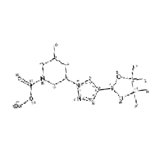 CC1CC(n2cc(B3OC(C)(C)C(C)(C)O3)cn2)CN(C(=O)OC(C)(C)C)C1